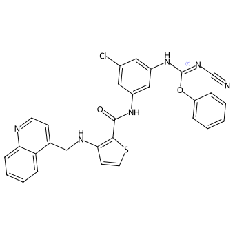 N#C/N=C(/Nc1cc(Cl)cc(NC(=O)c2sccc2NCc2ccnc3ccccc23)c1)Oc1ccccc1